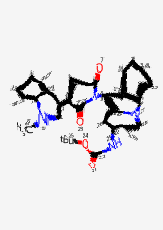 Cn1cc(C2=CC(=O)N(c3c4n(c5ccccc35)CCC(NC(=O)OC(C)(C)C)C4)C2=O)c2ccccc21